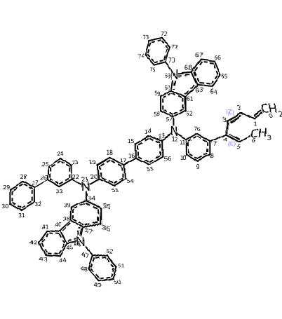 C=C/C=C\C(=C/C)c1cccc(N(c2ccc(-c3ccc(N(c4cccc(-c5ccccc5)c4)c4ccc5c(c4)c4ccccc4n5-c4ccccc4)cc3)cc2)c2ccc3c(c2)c2ccccc2n3-c2ccccc2)c1